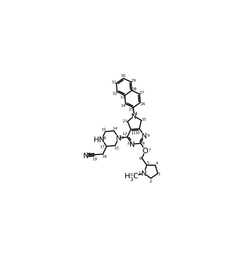 CN1CCCC1COc1nc2c(c(N3CCNC(CC#N)C3)n1)CN(c1ccc3ccccc3c1)C2